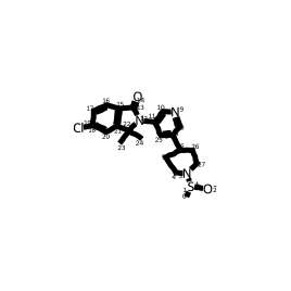 C[S+]([O-])N1CCC(c2cncc(N3C(=O)c4ccc(Cl)cc4C3(C)C)c2)CC1